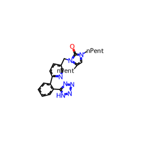 CCCCCc1cn(CCCCC)c(=O)n1Cc1ccc(-c2ccccc2-c2nnn[nH]2)nc1